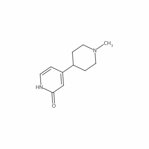 CN1CCC(c2cc[nH]c(=O)c2)CC1